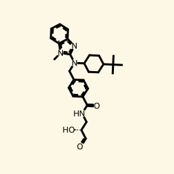 Cn1c(N(Cc2ccc(C(=O)NC[C@@H](O)C=O)cc2)C2CCC(C(C)(C)C)CC2)nc2ccccc21